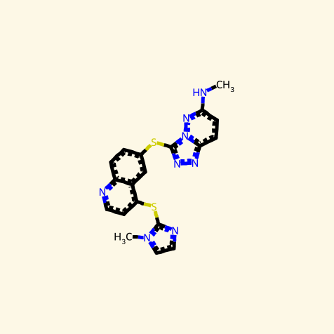 CNc1ccc2nnc(Sc3ccc4nccc(Sc5nccn5C)c4c3)n2n1